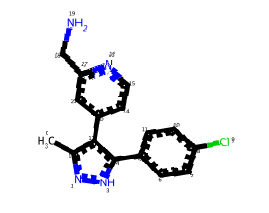 Cc1n[nH]c(-c2ccc(Cl)cc2)c1-c1ccnc(CN)c1